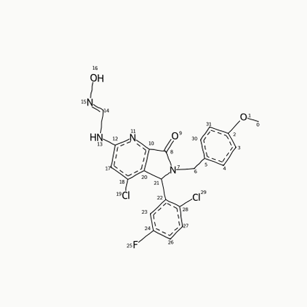 COc1ccc(CN2C(=O)c3nc(NC=NO)cc(Cl)c3C2c2cc(F)ccc2Cl)cc1